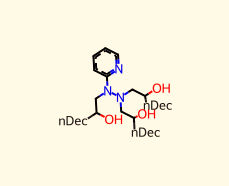 CCCCCCCCCCC(O)CN(CC(O)CCCCCCCCCC)N(CC(O)CCCCCCCCCC)c1ccccn1